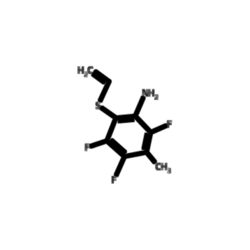 C=CSc1c(N)c(F)c(C)c(F)c1F